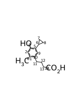 Cc1cc(O)c(C2CC2)cc1CCCC(=O)O